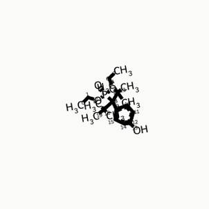 CCOP(=O)(OCC)C(c1ccc(O)cc1)(C(C)(C)C)C(C)(C)C